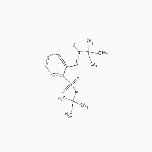 CC(C)(C)NS(=O)(=O)c1ccccc1C=[N+]([O-])C(C)(C)C